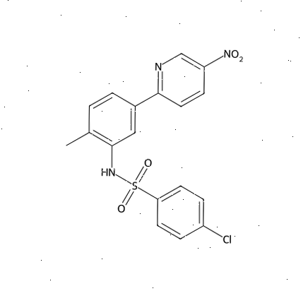 Cc1ccc(-c2ccc([N+](=O)[O-])cn2)cc1NS(=O)(=O)c1ccc(Cl)cc1